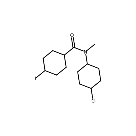 CN(C(=O)C1CCC(I)CC1)C1CCC(Cl)CC1